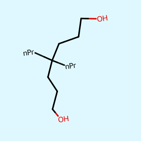 CCCC(CCC)(CCCO)CCCO